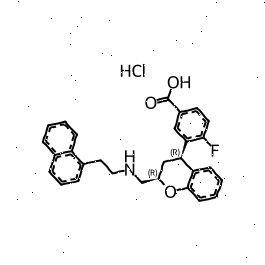 Cl.O=C(O)c1ccc(F)c([C@@H]2C[C@H](CNCCc3cccc4ccccc34)Oc3ccccc32)c1